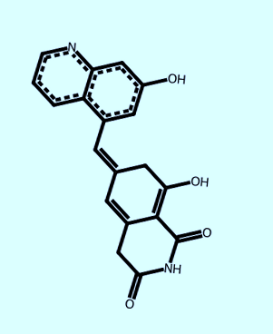 O=C1CC2=CC(=Cc3cc(O)cc4ncccc34)CC(O)=C2C(=O)N1